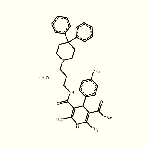 COC(=O)C1=C(C)NC(C)=C(C(=O)NCCCN2CCC(c3ccccc3)(c3ccccc3)CC2)C1c1ccc([N+](=O)[O-])cc1.Cl.O